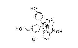 CCC1N(O)c2ccc3cc2[N+]1(O)N3C1(C(=O)c2ccc(O)cc2)C=CN(CCO)C=C1.[Cl-]